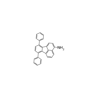 Nc1ccc2c3c(cccc13)-c1c(-c3ccccc3)ccc(-c3ccccc3)c1-2